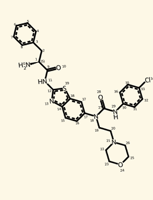 N[C@@H](Cc1ccccc1)C(=O)Nc1nc2ccc(N(CCN3CCOCC3)C(=O)Nc3ccc(Cl)cc3)cc2s1